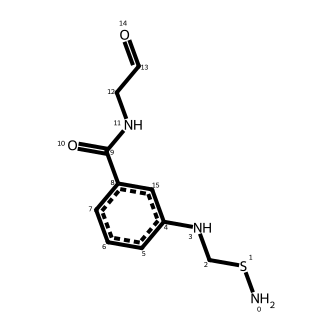 NSCNc1cccc(C(=O)N[CH]C=O)c1